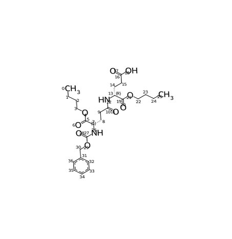 CCCCOC(=O)[C@H](CCC(=O)N[C@H](CCC(=O)O)C(=O)OCCCC)NC(=O)OCc1ccccc1